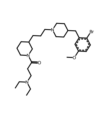 CCN(CC)CCC(=O)N1CCCC(CCCN2CCC(Cc3cc(OC)ccc3Br)CC2)C1